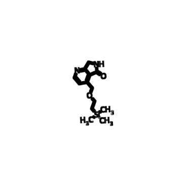 C[Si](C)(C)CCOCc1ccnc2c1C(=O)NC2